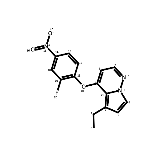 CCc1ccn2nccc(Oc3ccc([N+](=O)[O-])cc3F)c12